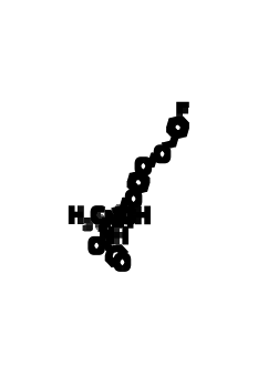 C[C@@H](CNC(=O)C1CCOCC1)NC[C@@H](O)COc1ccc(OCCOCCc2ccc(F)cc2)cc1